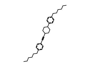 CCCCCCc1ccc(C#CC2CCC(c3ccc(CCCCCC)cc3)CC2)cc1